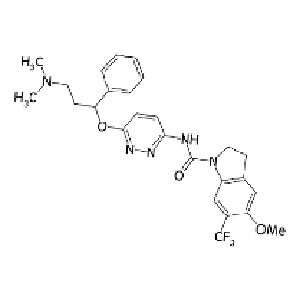 COc1cc2c(cc1C(F)(F)F)N(C(=O)Nc1ccc(OC(CCN(C)C)c3ccccc3)nn1)CC2